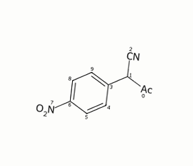 CC(=O)C(C#N)c1ccc([N+](=O)[O-])cc1